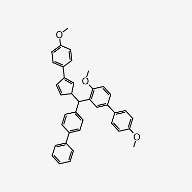 COc1ccc(C2=CC(C(c3ccc(-c4ccccc4)cc3)c3cc(-c4ccc(OC)cc4)ccc3OC)C=C2)cc1